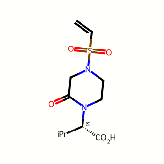 C=CS(=O)(=O)N1CCN([C@H](C(=O)O)C(C)C)C(=O)C1